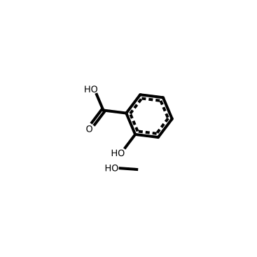 CO.O=C(O)c1ccccc1O